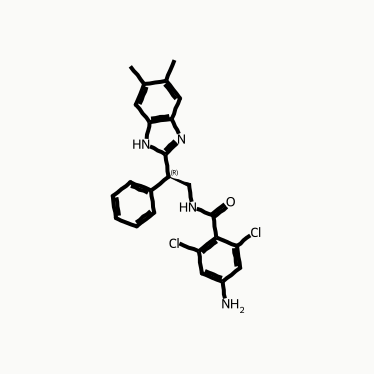 Cc1cc2nc([C@@H](CNC(=O)c3c(Cl)cc(N)cc3Cl)c3ccccc3)[nH]c2cc1C